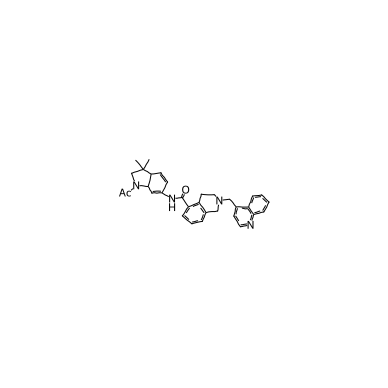 CC(=O)N1CC(C)(C)C2C=CC(NC(=O)c3cccc4c3CCN(Cc3ccnc5ccccc35)C4)=CC21